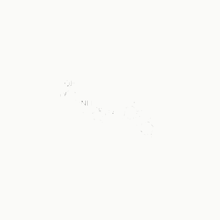 Cc1c(COc2ccc(CNCCC(=O)O)s2)cccc1-c1ccccc1